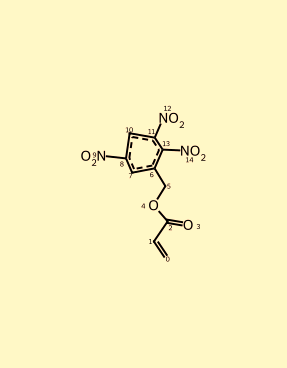 C=CC(=O)OCc1cc([N+](=O)[O-])cc([N+](=O)[O-])c1[N+](=O)[O-]